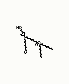 CCCCCCCCC(CCCCCCCC)OC(=O)CCCCCCCN(CCCCCCCC=O)C1CCN(CCO)CC1